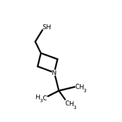 CC(C)(C)N1CC(CS)C1